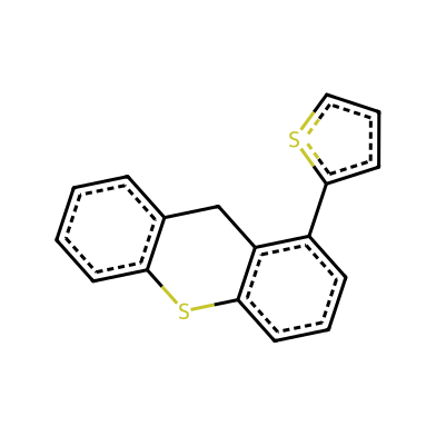 c1csc(-c2cccc3c2Cc2ccccc2S3)c1